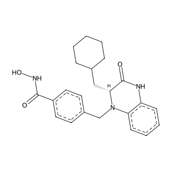 O=C(NO)c1ccc(CN2c3ccccc3NC(=O)[C@H]2CC2CCCCC2)cc1